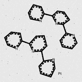 [Pt].c1ccc(-c2cccc(-c3ccccn3)n2)nc1.c1ccc(-c2cccc(-c3ccccn3)n2)nc1